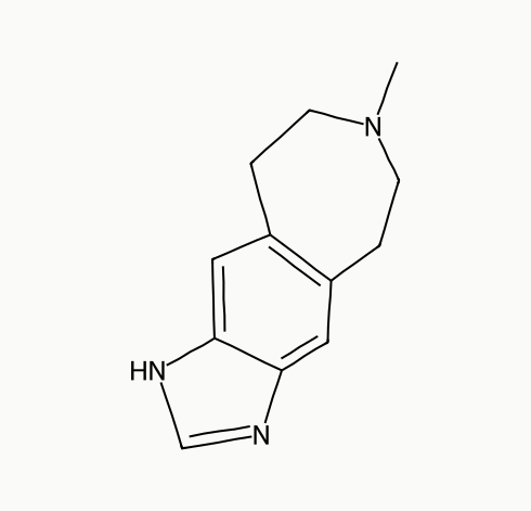 CN1CCc2cc3nc[nH]c3cc2CC1